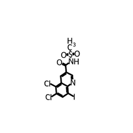 CS(=O)(=O)NC(=O)c1cnc2c(I)cc(Cl)c(Cl)c2c1